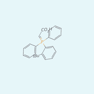 CC(C)(C)c1ccccc1P(=CC(=O)O)(c1ccccc1)c1ccccc1